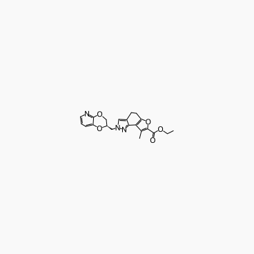 CCOC(=O)c1oc2c(c1C)-c1nn(C[C@@H]3COc4ncccc4O3)cc1CC2